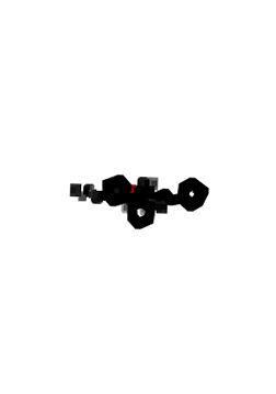 COc1cccc([C@@]23CCC[C@@H]([C@@H]2[C@@H](C)O)N(CCc2ccccc2)CC3)c1